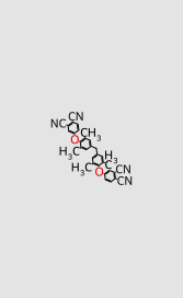 Cc1cc(Cc2cc(C)c(Oc3ccc(C#N)c(C#N)c3)c(C)c2)cc(C)c1Oc1ccc(C#N)c(C#N)c1